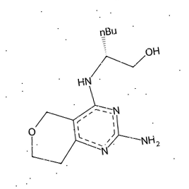 CCCC[C@H](CO)Nc1nc(N)nc2c1COCC2